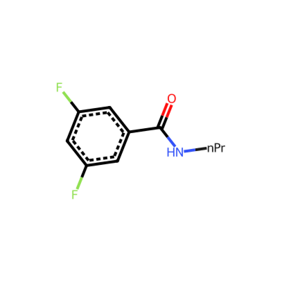 CCCNC(=O)c1cc(F)cc(F)c1